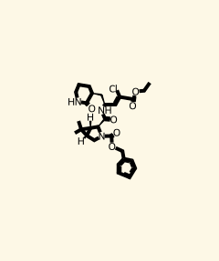 CCOC(=O)/C(Cl)=C/[C@H](C[C@@H]1CCCNC1=O)NC(=O)[C@@H]1[C@@H]2[C@H](CN1C(=O)OCc1ccccc1)C2(C)C